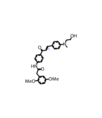 COc1ccc(OC)c(CC(=O)Nc2ccc(C(=O)/C=C/c3ccc(N(C)CCO)cc3)cc2)c1